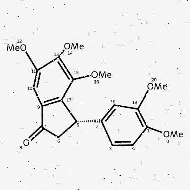 COc1ccc([C@@H]2CC(=O)c3cc(OC)c(OC)c(OC)c32)cc1OC